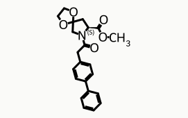 COC(=O)[C@@H]1CC2(CN1C(=O)Cc1ccc(-c3ccccc3)cc1)OCCO2